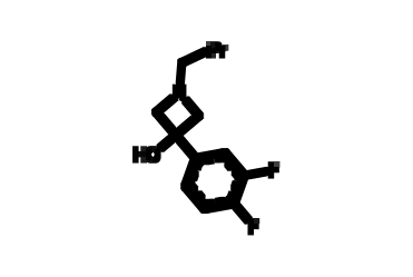 CC(C)CN1CC(O)(c2ccc(F)c(F)c2)C1